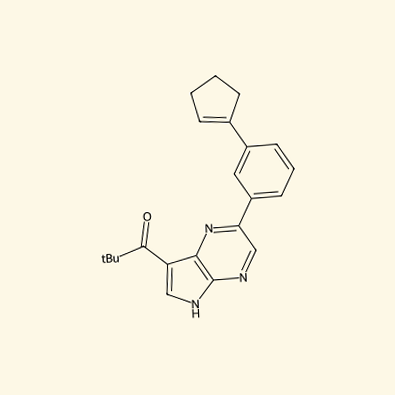 CC(C)(C)C(=O)c1c[nH]c2ncc(-c3cccc(C4=CCCC4)c3)nc12